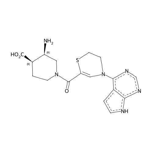 N[C@H]1CN(C(=O)C2=CN(c3ncnc4[nH]ccc34)CCS2)CC[C@H]1C(=O)O